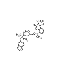 C[C@@H](OC[C@H](O)CNC(C)(C)Cc1ccc2occc2c1)c1cccc2c1O[C@@H]1[C@@H](C(=O)O)[C@H]21